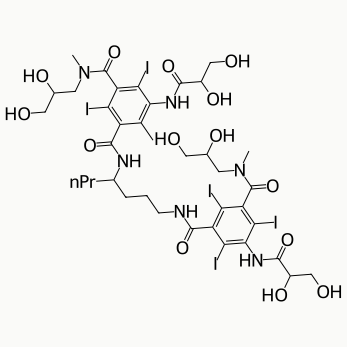 CCCC(CCCNC(=O)c1c(I)c(NC(=O)C(O)CO)c(I)c(C(=O)N(C)CC(O)CO)c1I)NC(=O)c1c(C)c(NC(=O)C(O)CO)c(I)c(C(=O)N(C)CC(O)CO)c1I